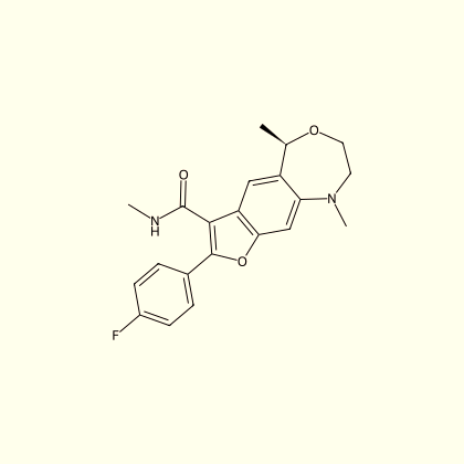 CNC(=O)c1c(-c2ccc(F)cc2)oc2cc3c(cc12)[C@@H](C)OCCN3C